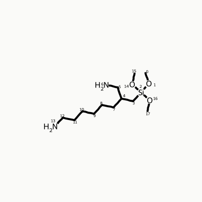 CO[Si](CC(CN)CCCCCCN)(OC)OC